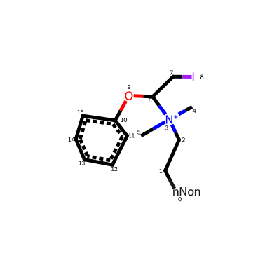 CCCCCCCCCCC[N+](C)(C)C(CI)Oc1ccccc1